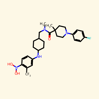 CN(CC1CCC(Nc2ccc(N(O)O)c(C(F)(F)F)c2)CC1)C(=O)C1(C)CCN(c2ccc(F)cc2)CC1